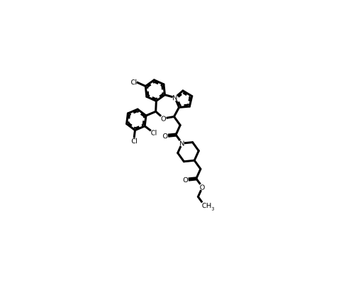 CCOC(=O)CC1CCN(C(=O)CC2OC(c3cccc(Cl)c3Cl)c3cc(Cl)ccc3-n3cccc32)CC1